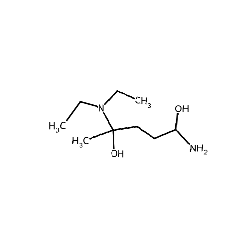 CCN(CC)C(C)(O)CCC(N)O